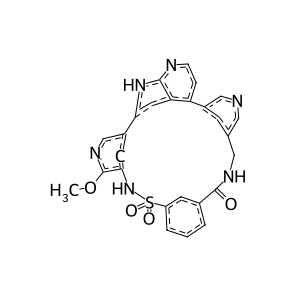 COc1ncc2cc1NS(=O)(=O)c1cccc(c1)C(=O)NCc1cncc(c1)-c1ccnc3[nH]c-2cc13